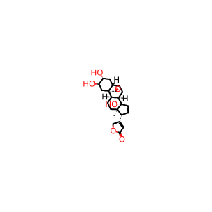 C[C@]12CC[C@H]3[C@@H](CC[C@H]4C[C@@H](O)[C@H](O)C[C@@]43C=O)[C@@]1(O)CC[C@@H]2C1=CC(=O)OC1